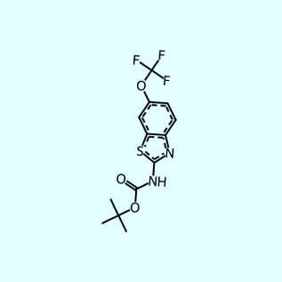 CC(C)(C)OC(=O)Nc1nc2ccc(OC(F)(F)F)cc2s1